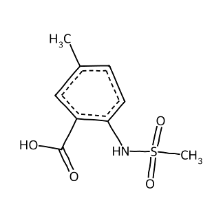 Cc1ccc(NS(C)(=O)=O)c(C(=O)O)c1